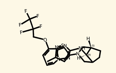 Cc1cc(N2CC3CC[C@@H](C2)[C@@H]3Nc2nc3c(OCC(F)(F)C(F)(F)F)cccn3n2)sn1